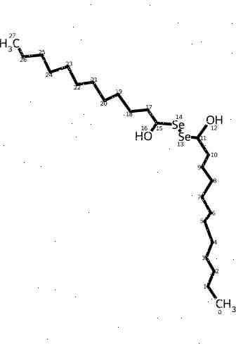 CCCCCCCCCCCC(O)[Se][Se]C(O)CCCCCCCCCCC